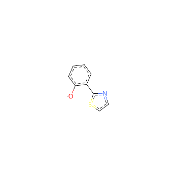 [O]c1ccccc1-c1nccs1